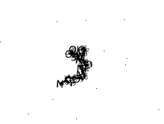 N#Cc1ccc(COc2cccc(-c3cc(=O)n(Cc4nc5sc(C(=O)O)cc5n4CC4CCO4)cn3)n2)c(F)c1